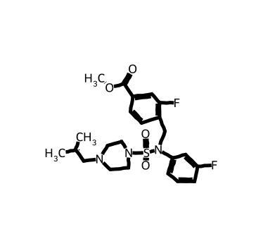 COC(=O)c1ccc(CN(c2cccc(F)c2)S(=O)(=O)N2CCN(C[C](C)C)CC2)c(F)c1